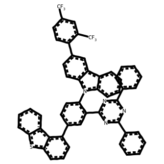 FC(F)(F)c1ccc(-c2ccc3c(c2)c2ccccc2n3-c2ccc(-c3cccc4sc5ccccc5c34)cc2-c2nc(-c3ccccc3)nc(-c3ccccc3)n2)c(C(F)(F)F)c1